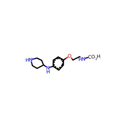 O=C(O)NCCOc1ccc(NC2CCNCC2)cc1